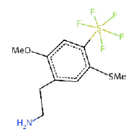 COc1cc(S(F)(F)(F)(F)F)c(SC)cc1CCN